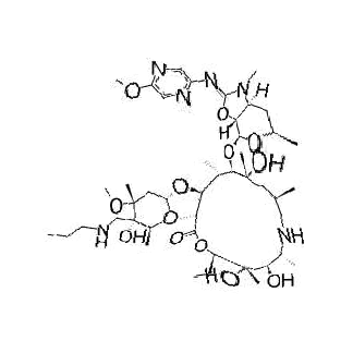 CCCNC[C@]1(O)[C@H](C)O[C@@H](O[C@H]2[C@H](C)[C@@H](O[C@@H]3O[C@H](C)C[C@H]4[C@H]3O/C(=N\c3cnc(OC)cn3)N4C)[C@](C)(O)C[C@@H](C)CN[C@H](C)[C@@H](O)[C@](C)(O)[C@@H](CC)OC(=O)[C@@H]2C)C[C@@]1(C)OC